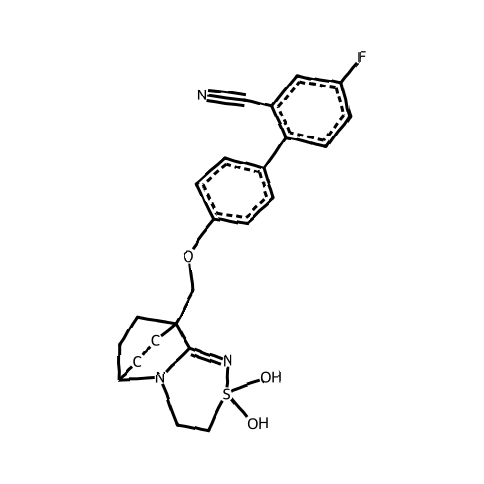 N#Cc1cc(F)ccc1-c1ccc(OCC23CCC(CC2)N2CCS(O)(O)N=C23)cc1